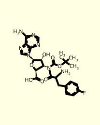 CC(C)(C)OC(=O)N(C(=O)C(N)Cc1ccc(F)cc1)[C@H]1[C@@H](O)[C@H](n2cnc3c(N)ncnc32)O[C@@H]1C(=O)O